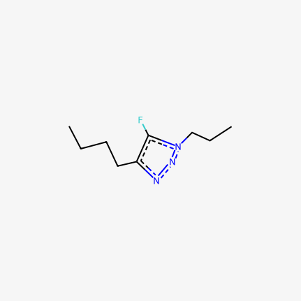 CCCCc1nnn(CCC)c1F